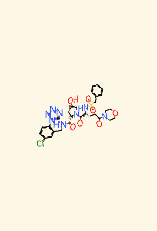 O=C(NCc1cc(Cl)ccc1-n1cnnn1)[C@@H]1C[C@H](O)CN1C(=O)[C@@H](CCC(=O)N1CCOCC1)NS(=O)(=O)Cc1ccccc1